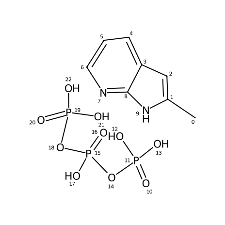 Cc1cc2cccnc2[nH]1.O=P(O)(O)OP(=O)(O)OP(=O)(O)O